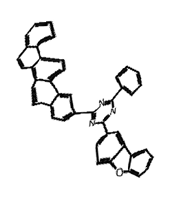 c1ccc(-c2nc(-c3ccc4ccc5c(ccc6c7ccccc7ccc65)c4c3)nc(-c3ccc4oc5ccccc5c4c3)n2)cc1